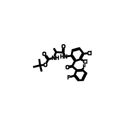 CC(NC(=O)OC(C)(C)C)C(=O)Nc1ccc(Cl)c(Cl)c1C(=O)c1c(F)cccc1F